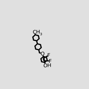 CC1CCC(C2CCC(COC34CCC(O)(CC3)C(F)=C4F)CC2)CC1